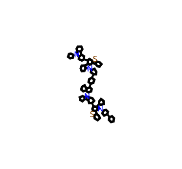 c1ccc(-c2ccc(-n3c4ccccc4c4c(-c5ccc6c(c5)c5ccccc5n6-c5ccc(-c6ccc(-c7cccc(-n8c9ccccc9c9c(-c%10ccc%11c(c%10)c%10ccccc%10n%11-c%10ccccc%10)cc%10sc%11ccccc%11c%10c98)c7)cc6)c6ccccc56)cc5sc6ccccc6c5c43)cc2)cc1